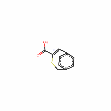 O=C(O)/C1=C/c2ccc(cc2)CS1